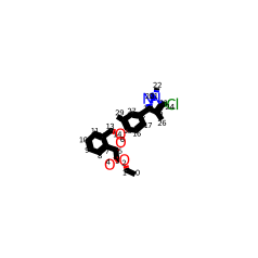 CCOC(=O)C(=O)c1ccccc1COc1ccc(-c2nn(C)c(Cl)c2C)cc1C